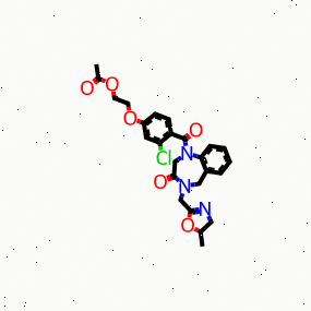 CC(=O)OCCOc1ccc(C(=O)N2CC(=O)N(CC3=NCC(C)O3)Cc3ccccc32)c(Cl)c1